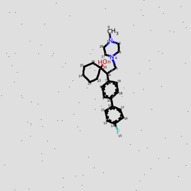 CN1CCN(CC(c2ccc(-c3ccc(F)cc3)cc2)C2(O)CCCCC2)CC1